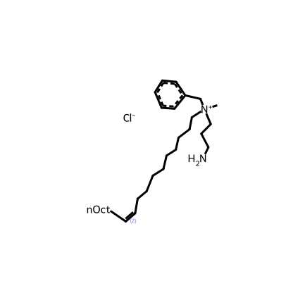 CCCCCCCC/C=C\CCCCCCCCC[N+](C)(CCCN)Cc1ccccc1.[Cl-]